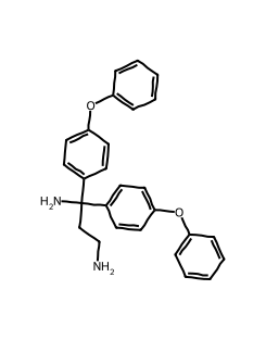 NCCC(N)(c1ccc(Oc2ccccc2)cc1)c1ccc(Oc2ccccc2)cc1